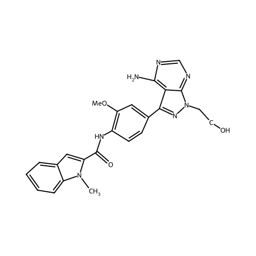 COc1cc(-c2nn(CCO)c3ncnc(N)c23)ccc1NC(=O)c1cc2ccccc2n1C